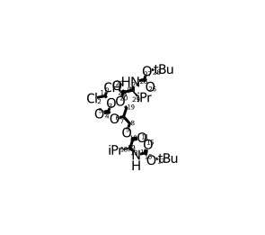 CC(Cl)OC(=O)OC(COC(=O)[C@@H](NC(=O)OC(C)(C)C)C(C)C)COC(=O)[C@@H](NC(=O)OC(C)(C)C)C(C)C